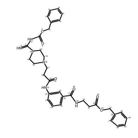 N=C(NC(=O)OCc1ccccc1)N1CCN(CCC(=O)Nc2cccc(C(=O)NCCC(=O)OCc3ccccc3)c2)CC1